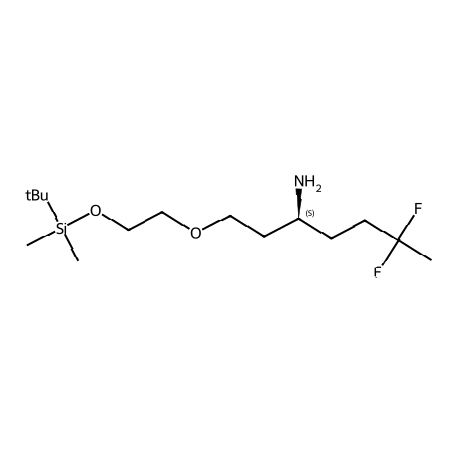 CC(F)(F)CC[C@H](N)CCOCCO[Si](C)(C)C(C)(C)C